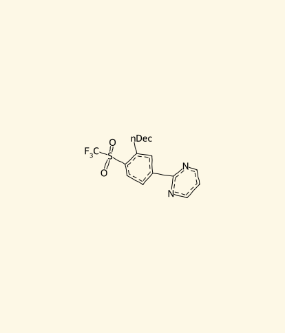 CCCCCCCCCCc1cc(-c2ncccn2)ccc1S(=O)(=O)C(F)(F)F